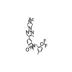 CC(=O)N1CCN(c2ncc(-c3ccc4c(=O)n(C)n(Cc5cc(C)ccc5OC(F)F)c4c3)c(C)n2)[C@H](C)C1